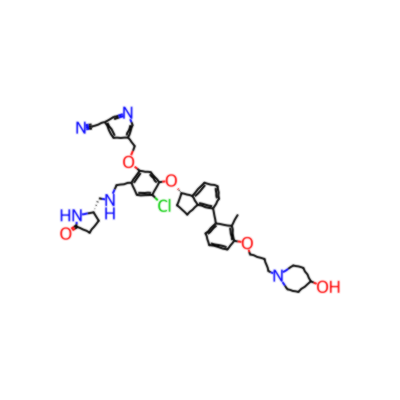 Cc1c(OCCCN2CCC(O)CC2)cccc1-c1cccc2c1CC[C@@H]2Oc1cc(OCc2cncc(C#N)c2)c(CNC[C@@H]2CCC(=O)N2)cc1Cl